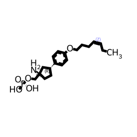 CC/C=C\CCCOc1ccc([C@@H]2CC[C@](N)(COP(=O)(O)O)C2)cc1